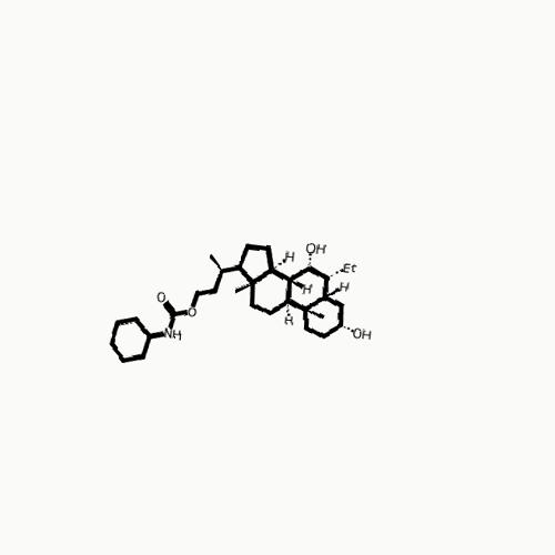 CC[C@H]1[C@@H](O)[C@@H]2[C@H](CC[C@]3(C)C([C@H](C)CCOC(=O)NC4CCCCC4)CC[C@@H]23)[C@@]2(C)CC[C@@H](O)C[C@@H]12